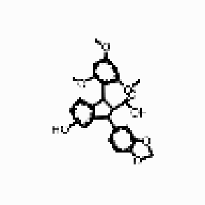 COc1cc(OC)c(C2c3ccc(O)cc3C(c3ccc4c(c3)OCO4)C2C(=O)O)c(OC)c1